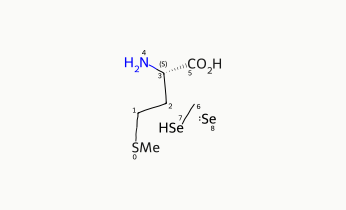 CSCC[C@H](N)C(=O)O.C[SeH].[Se]